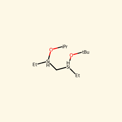 CC[SiH](C[SiH](CC)OC(C)(C)C)OC(C)C